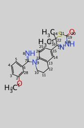 COc1cccc(C(=N)N2CCCc3cc(C4=NNC(=O)SC4(C)C)ccc32)c1